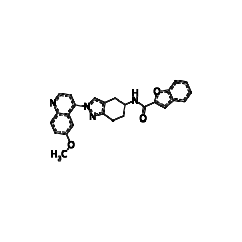 COc1ccc2nccc(-n3cc4c(n3)CCC(NC(=O)c3cc5ccccc5o3)C4)c2c1